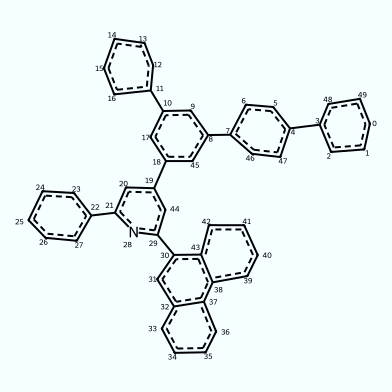 c1ccc(-c2ccc(-c3cc(-c4ccccc4)cc(-c4cc(-c5ccccc5)nc(-c5cc6ccccc6c6ccccc56)c4)c3)cc2)cc1